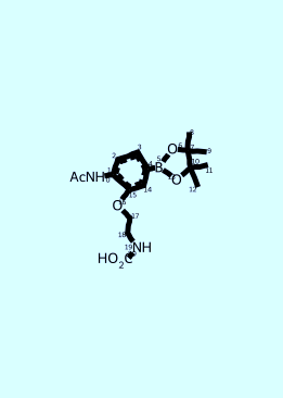 CC(=O)Nc1ccc(B2OC(C)(C)C(C)(C)O2)cc1OCCNC(=O)O